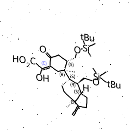 C=C1CC[C@H]2[C@H](CO[Si](C)(C)C(C)(C)C)[C@@H]([C@@]3(C)C/C(=C(\O)C(=O)O)C(=O)C[C@@H]3CO[Si](C)(C)C(C)(C)C)CC[C@]12C